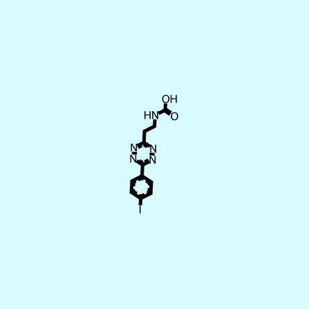 O=C(O)NCCc1nnc(-c2ccc(I)cc2)nn1